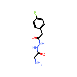 NCC(=O)NNC(=O)Cc1ccc(F)cc1